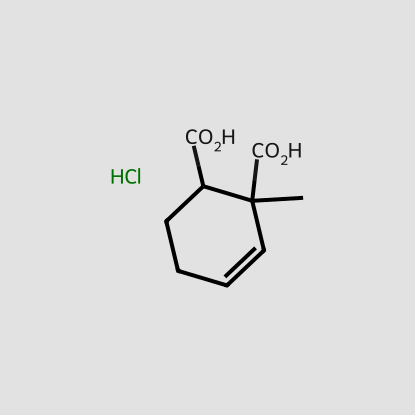 CC1(C(=O)O)C=CCCC1C(=O)O.Cl